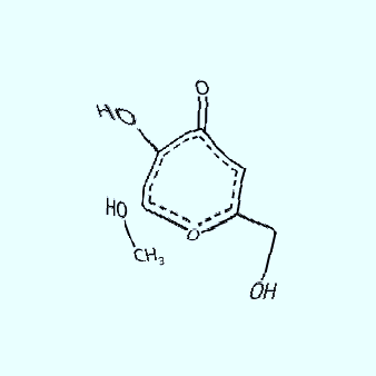 CO.O=c1cc(CO)occ1O